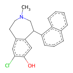 CN1CCc2cc(Cl)c(O)cc2C(c2cccc3ccccc23)C1